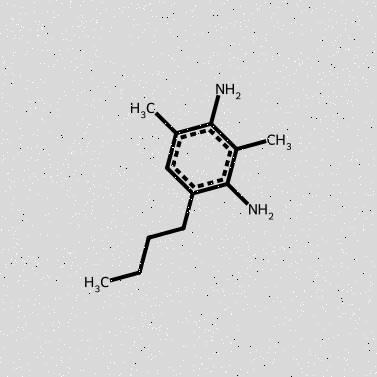 CCCCc1cc(C)c(N)c(C)c1N